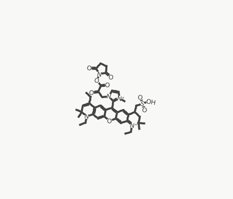 CCC1=CC(C)(C)N(CC)c2cc3c(cc21)C(c1n(CC(=O)C(=O)ON2C(=O)CCC2=O)cc[n+]1C)=c1cc2c(cc1O3)=[N+](CC)C(C)(C)CC2CS(=O)(=O)O